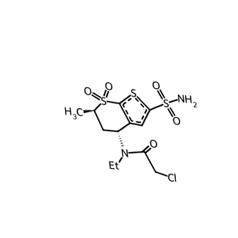 CCN(C(=O)CCl)[C@@H]1C[C@@H](C)S(=O)(=O)c2sc(S(N)(=O)=O)cc21